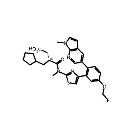 CN(C(=O)[C@@H](CC(=O)O)CC1CCCC1)c1nc(-c2cc(OCF)ccc2-c2cnc3c(ccn3C)c2)cs1